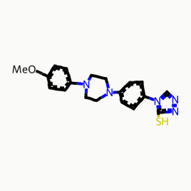 COc1ccc(N2CCN(c3ccc(-n4cnnc4S)cc3)CC2)cc1